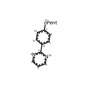 CCCCCc1ccc(-c2ncccn2)cc1